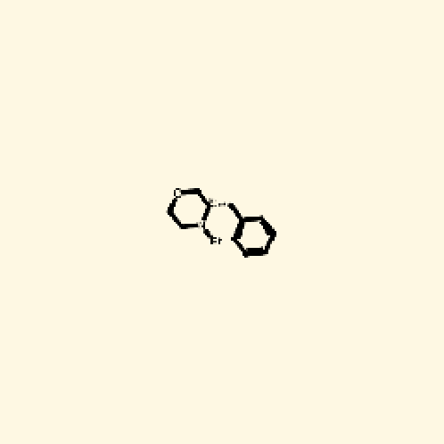 CCN1CCOC[C@@H]1Cc1ccccc1